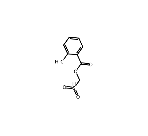 Cc1ccccc1C(=O)OC[SH](=O)=O